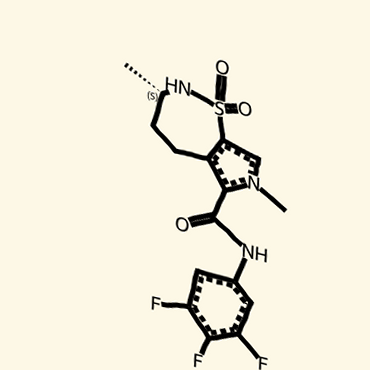 C[C@H]1CCc2c(cn(C)c2C(=O)Nc2cc(F)c(F)c(F)c2)S(=O)(=O)N1